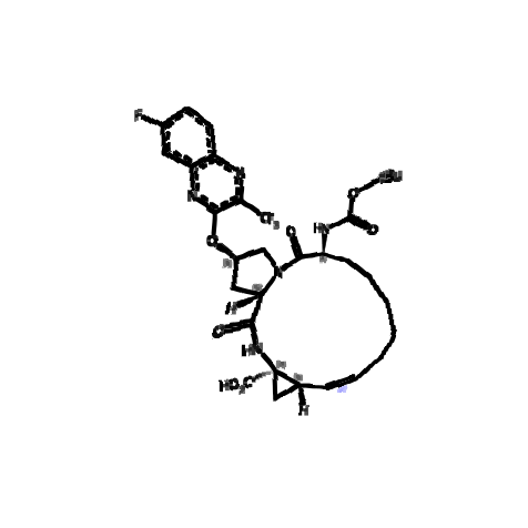 CC(C)(C)OC(=O)N[C@H]1CCCCC/C=C\[C@@H]2C[C@@]2(C(=O)O)NC(=O)[C@@H]2C[C@@H](Oc3nc4cc(F)ccc4nc3C(F)(F)F)CN2C1=O